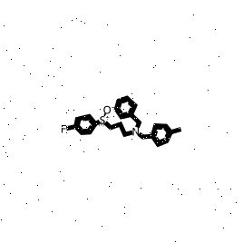 Cc1ccc(CN(CCC[S@@+]([O-])c2ccc(F)cc2)Cc2ccccc2)cc1